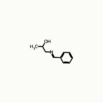 CC(O)CN=Cc1ccccc1